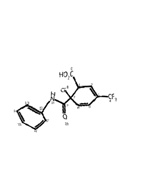 O=C(O)C1C=C(C(F)(F)F)C=CC1(Cl)C(=O)Nc1ccccc1